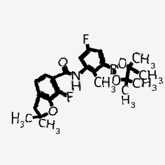 Cc1c(NC(=O)c2ccc3c(c2F)OC(C)(C)C3)cc(F)cc1B1OC(C)(C)C(C)(C)O1